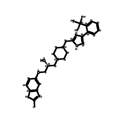 Cc1nc2cc(OC[C@H](O)CN3CCN(Cc4nc(-c5ccccc5C(F)(F)F)no4)CC3)ccc2s1